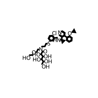 O=C(C(O)C(O)C(O)C(O)CO)N(CCCSc1ccc(Cl)c(CNC2(c3cnccc3-c3ccccc3OC3CC3)CC2)c1)CCOCCO